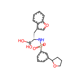 O=S(=O)(N[C@@H](Cc1coc2ccccc12)B(O)O)c1cccc(C2CCCO2)c1